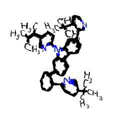 CC(C)C(C)c1ccc(-n2c3cc(-c4ccccc4-c4ccc(C(C)(C)C)cn4)ccc3c3ccc(-c4cnccc4C(C)(C)C)cc32)nc1